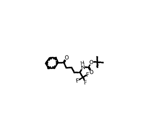 CC(C)(C)OC(=O)NC(CCCC(=O)c1ccccc1)C(F)(F)F